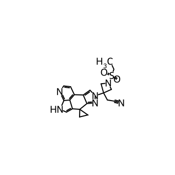 CCS(=O)(=O)N1CC(CC#N)(n2cc3c(n2)C2(CC2)c2c[nH]c4nccc-3c24)C1